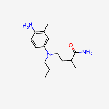 CCCN(CCC(C)C(N)=O)c1ccc(N)c(C)c1